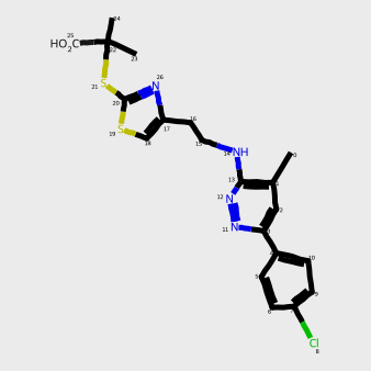 Cc1cc(-c2ccc(Cl)cc2)nnc1NCCc1csc(SC(C)(C)C(=O)O)n1